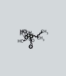 C#CCN1CCC2=C(C1)c1c(OC(=O)CCN3CCCCC3)cc(CCC(C)CCCCC)cc1OC2(C)C.Cl.Cl